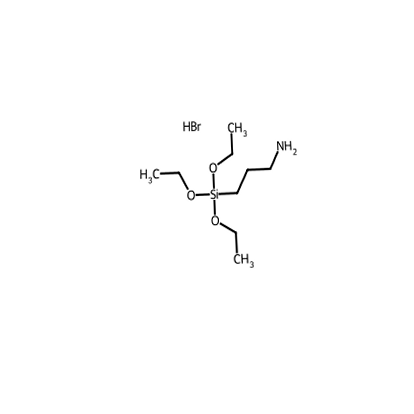 Br.CCO[Si](CCCN)(OCC)OCC